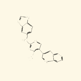 Nc1nc(Nc2ccc3[nH]cnc3c2)ncc1-c1cnc2ccccc2c1